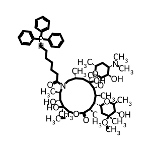 CC[C@H]1OC(=O)[C@H](C)[C@@H](C2C[C@@](C)(OC)[C@@H](O)[C@H](C)O2)[C@H](C)[C@@H](O[C@@H]2O[C@H](C)C[C@H](N(C)C)[C@H]2O)[C@](C)(O)C[C@@H](C)CN(C(=O)CCCCCC[PH](c2ccccc2)(c2ccccc2)c2ccccc2)[C@H](C)[C@@H](O)[C@]1(C)O